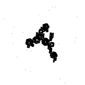 Cc1cccc(N2CCc3c(nc(OC[C@]4(C)CCCN4C)nc3N3CCN(C(=O)/C=C/CN4CCC(F)C4)[C@@H](CC#N)C3)C2)c1C